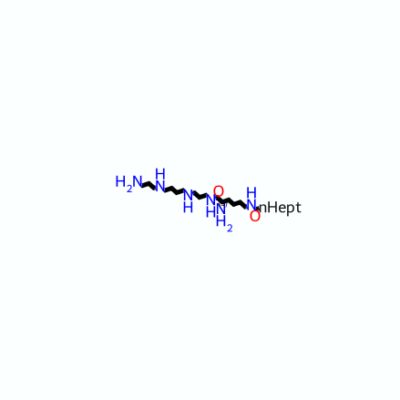 CCCCCCCC(=O)NCCCC[C@H](N)C(=O)NCCCNCCCCNCCCN